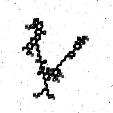 CCCN(CCC)CCCC[C@H](NC(=O)[C@@H](NC(=O)CCCCCn1cc(-c2cnc(S(C)(=O)=O)nc2)nn1)C(C)C)C(=O)NCC(=O)NCOC/C=C/c1c2c(nc3cc(F)c(C)cc13)-c1cc3c(c(=O)n1C2)COC(=O)[C@]3(O)CC